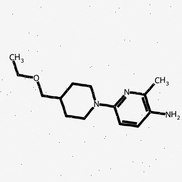 CCOCC1CCN(c2ccc(N)c(C)n2)CC1